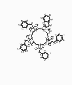 CC1CN(S(=O)(=O)Cc2ccccc2)CCN(S(=O)(=O)Cc2ccccc2)CCN(S(=O)(=O)Cc2ccccc2)CCN(S(=O)(=O)Cc2ccccc2)CCN1S(=O)(=O)Cc1ccccc1